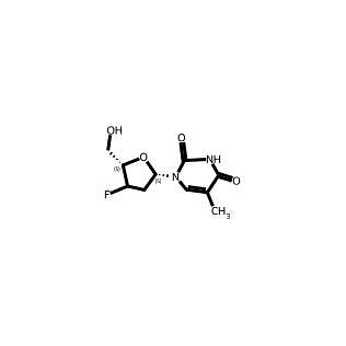 Cc1cn([C@@H]2CC(F)[C@H](CO)O2)c(=O)[nH]c1=O